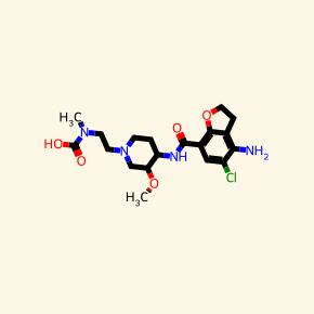 COC1CN(CCN(C)C(=O)O)CCC1NC(=O)c1cc(Cl)c(N)c2c1OCC2